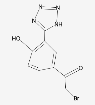 O=C(CBr)c1ccc(O)c(-c2nnn[nH]2)c1